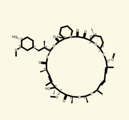 CO[C@H]1C[C@@H]2CC[C@@H](C)[C@@](O)(O2)C(=O)C(=O)N2CCCC[C@H]2C(=O)O[C@H]([C@H](C)C[C@@H]2CC[C@@H](O)[C@H](OC)C2)CC(=O)[C@H](C)/C=C(\C)[C@](C)(O)[C@@H](OC)C(=O)[C@H](C)C[C@H](C)CC(I)/C=C/C=C/1C